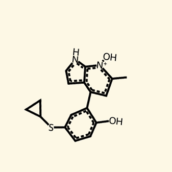 Cc1cc(-c2cc(SC3CC3)ccc2O)c2cc[nH]c2[n+]1O